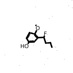 CCCC(F)c1cc(O)ccc1OC